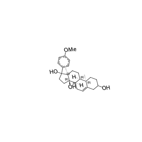 COc1ccc(C2(O)CC[C@@]3(O)[C@@H]4CC=C5CC(O)CC[C@]5(C)[C@@H]4CC[C@]23C)cc1